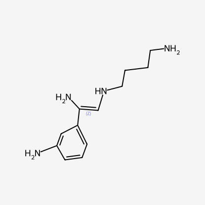 NCCCCN/C=C(\N)c1cccc(N)c1